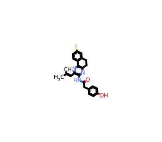 CC(C)=Cc1nc2c(nc1NC(=O)Cc1ccc(O)cc1)CCc1cc(F)ccc1-2